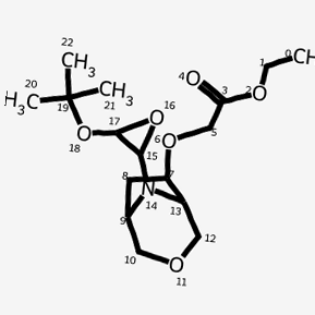 CCOC(=O)COC1CC2COCC1N2C1OC1OC(C)(C)C